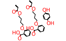 C=CC(=O)OCCCCOc1ccccc1C(=O)O.C=CC(=O)OCCCCOc1ccccc1C(=O)O.Oc1ccc(O)cc1